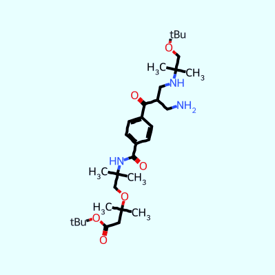 CC(C)(COC(C)(C)C)NCC(CN)C(=O)c1ccc(C(=O)NC(C)(C)COC(C)(C)CC(=O)OC(C)(C)C)cc1